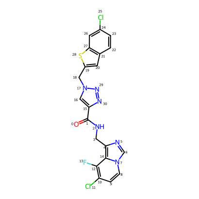 O=C(NCc1ncn2ccc(Cl)c(F)c12)c1cn(Cc2cc3ccc(Cl)cc3s2)nn1